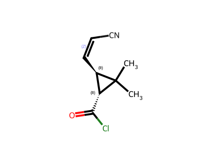 CC1(C)[C@H](/C=C\C#N)[C@H]1C(=O)Cl